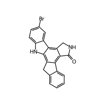 O=C1NCc2c1c1c(c3[nH]c4ccc(Br)cc4c23)Cc2ccccc2-1